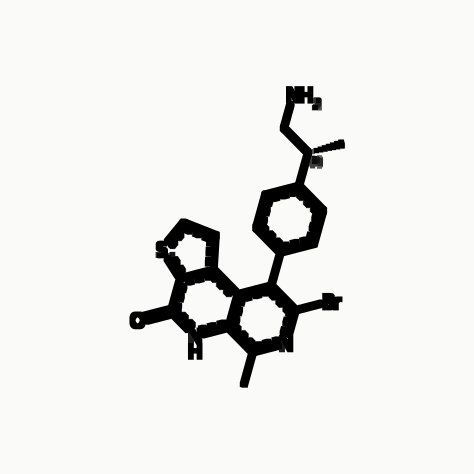 Cc1nc(Br)c(-c2ccc([C@@H](C)CN)cc2)c2c1[nH]c(=O)c1sccc12